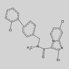 CCc1nc2cc(Cl)ccn2c1C(=O)N(C)Cc1ccc(-c2ccccc2Cl)cc1